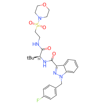 CC(C)(C)[C@H](NC(=O)c1nn(Cc2ccc(F)cc2)c2ccccc12)C(=O)NCCS(=O)(=O)N1CCOCC1